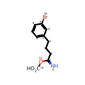 N=C(CCCc1cccc(Br)c1)OC(=O)O